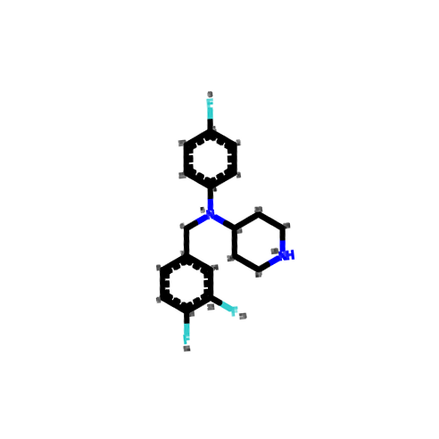 Fc1ccc(N(Cc2ccc(F)c(F)c2)C2CCNCC2)cc1